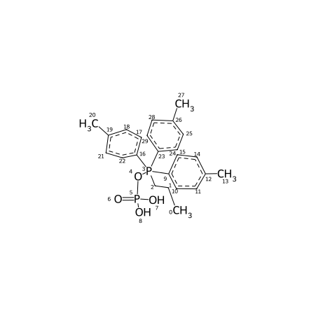 CCCP(OP(=O)(O)O)(c1ccc(C)cc1)(c1ccc(C)cc1)c1ccc(C)cc1